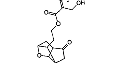 C=C(CO)C(=O)OCCC1C2CC3C(=O)CC1C3O2